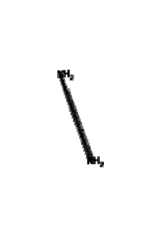 NCCCCCCCCCCCCCCCCCCCCCCCCCCCCCCCCCCCCCCCCCCCCCCCCCCN